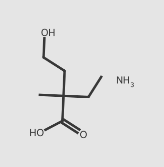 CCC(C)(CCO)C(=O)O.N